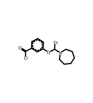 CCC(Oc1cccc(C(=O)Cl)c1)N1CCCCCC1